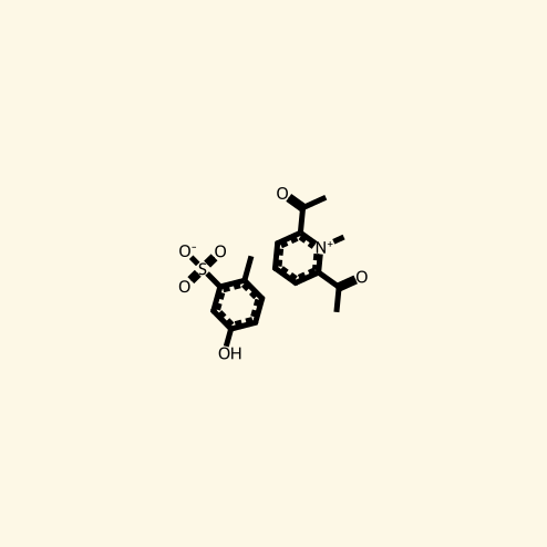 CC(=O)c1cccc(C(C)=O)[n+]1C.Cc1ccc(O)cc1S(=O)(=O)[O-]